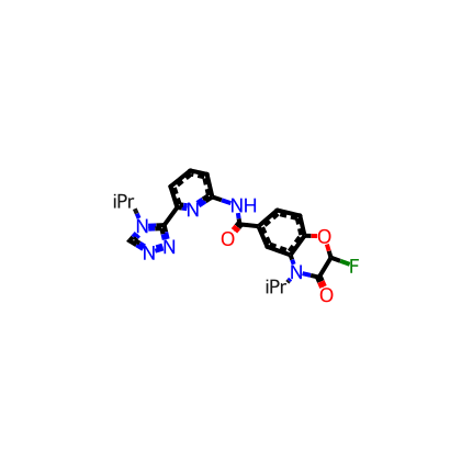 CC(C)N1C(=O)C(F)Oc2ccc(C(=O)Nc3cccc(-c4nncn4C(C)C)n3)cc21